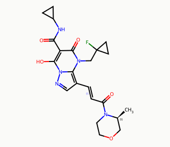 C[C@H]1COCCN1C(=O)/C=C/c1cnn2c(O)c(C(=O)NC3CC3)c(=O)n(CC3(F)CC3)c12